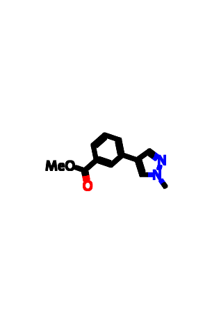 COC(=O)c1cccc(-c2cnn(C)c2)c1